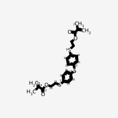 C=C(C)C(=O)OCCSc1ccc(Sc2ccc(SCCOC(=O)C(=C)C)cc2)cc1